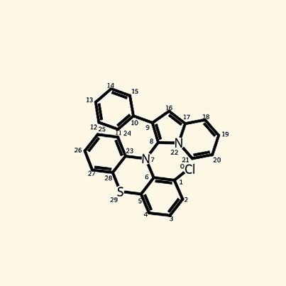 Clc1cccc2c1N(c1c(-c3ccccc3)cc3ccccn13)c1ccccc1S2